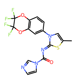 Cc1cn(-c2ccc3c(c2)OC(F)(F)C(F)(F)O3)c(=NC(=O)n2ccnc2)s1